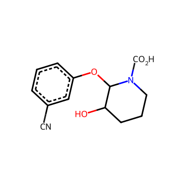 N#Cc1cccc(OC2C(O)CCCN2C(=O)O)c1